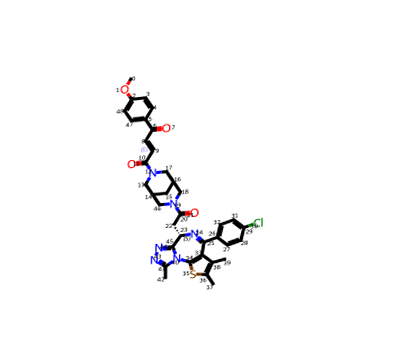 COc1ccc(C(=O)/C=C/C(=O)N2CC3CC(C2)CN(C(=O)C[C@@H]2N=C(c4ccc(Cl)cc4)c4c(sc(C)c4C)-n4c(C)nnc42)C3)cc1